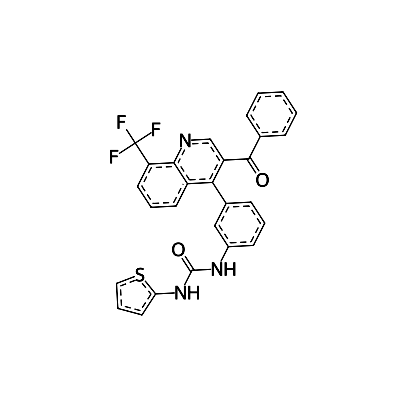 O=C(Nc1cccc(-c2c(C(=O)c3ccccc3)cnc3c(C(F)(F)F)cccc23)c1)Nc1cccs1